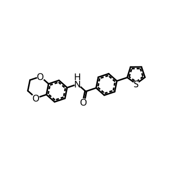 O=C(Nc1ccc2c(c1)OCCO2)c1ccc(-c2cccs2)cc1